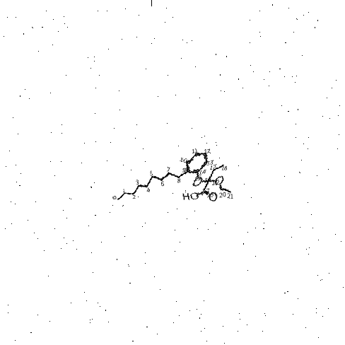 CCCCCCCCCc1ccccc1OC(CC)(OCC)C(=O)O